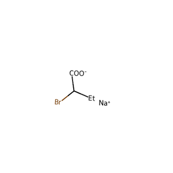 CCC(Br)C(=O)[O-].[Na+]